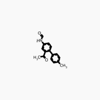 CC(=O)c1cc(NC=O)ccc1-c1ccc(C)cc1